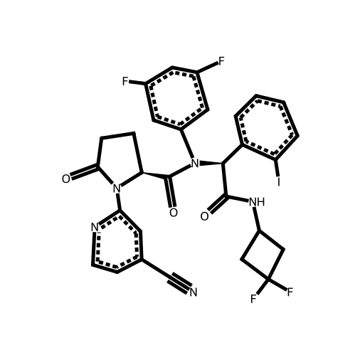 N#Cc1ccnc(N2C(=O)CC[C@H]2C(=O)N(c2cc(F)cc(F)c2)[C@H](C(=O)NC2CC(F)(F)C2)c2ccccc2I)c1